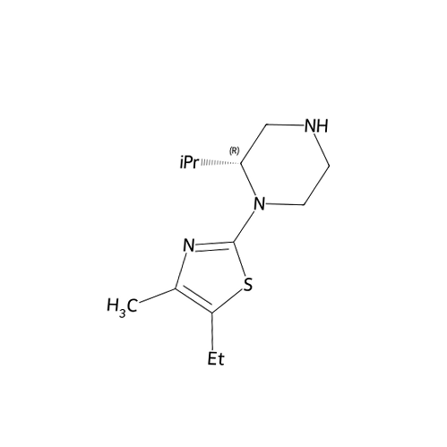 CCc1sc(N2CCNC[C@H]2C(C)C)nc1C